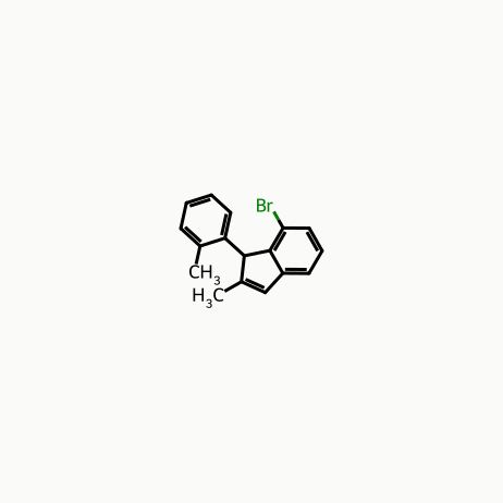 CC1=Cc2cccc(Br)c2C1c1ccccc1C